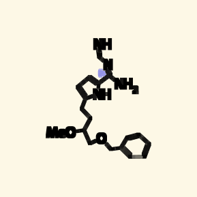 COC(CCc1ccc(/C(N)=N\C=N)[nH]1)COCc1ccccc1